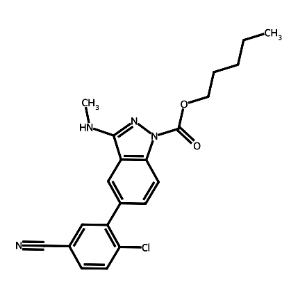 CCCCCOC(=O)n1nc(NC)c2cc(-c3cc(C#N)ccc3Cl)ccc21